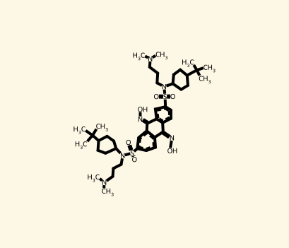 CN(C)CCCN(C1CCC(C(C)(C)C)CC1)S(=O)(=O)c1ccc2c(c1)C(=NO)c1cc(S(=O)(=O)N(CCCN(C)C)C3CCC(C(C)(C)C)CC3)ccc1C2=NO